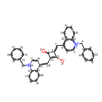 O=C1C(=Cc2cc[n+](Cc3ccccc3)c3ccccc23)C([O-])=C1C=C1C=CN(Cc2ccccc2)c2ccccc21